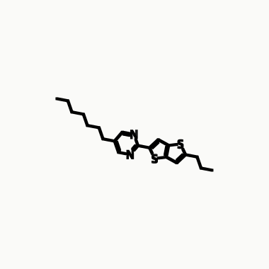 CCCCCCCc1cnc(-c2cc3sc(CCC)cc3s2)nc1